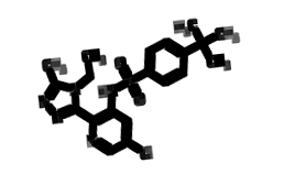 CCn1c(C)nnc1-c1ncc(Cl)cc1NS(=O)(=O)c1ccc(C(C)(C)C)cc1